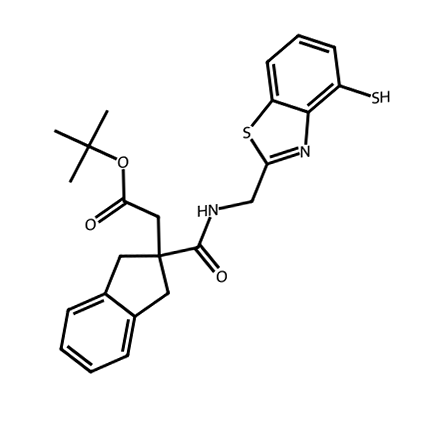 CC(C)(C)OC(=O)CC1(C(=O)NCc2nc3c(S)cccc3s2)Cc2ccccc2C1